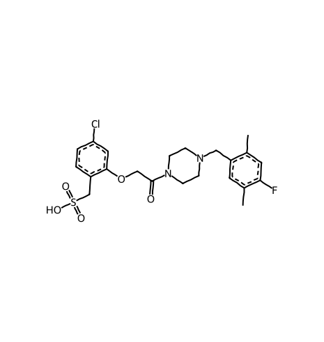 Cc1cc(CN2CCN(C(=O)COc3cc(Cl)ccc3CS(=O)(=O)O)CC2)c(C)cc1F